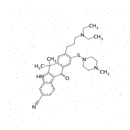 CCN(CC)CCCc1cc2c(cc1SN1CCN(C)CC1)C(=O)c1c([nH]c3cc(C#N)ccc13)C2(C)C